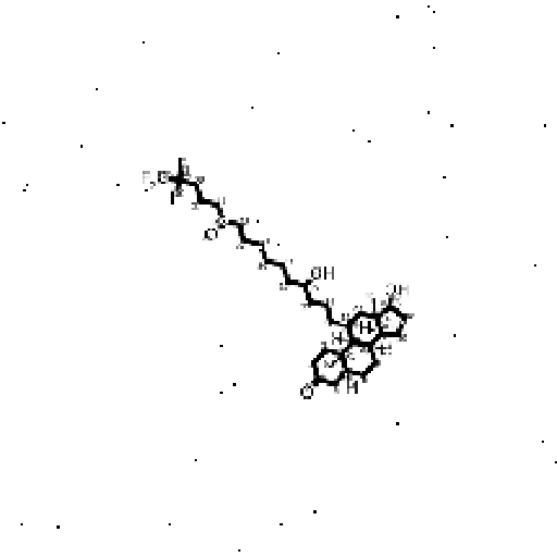 C[C@]12CCC(=O)C[C@@H]1CC[C@@H]1[C@@H]2[C@@H](CCCC(O)CCCCCC[S+]([O-])CCCC(F)(F)C(F)(F)F)C[C@]2(C)[C@@H](O)CC[C@@H]12